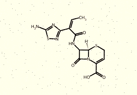 C/C=C(\C(=O)NC1C(=O)N2C(C(=O)O)=CCS[C@H]12)c1nsc(N)n1